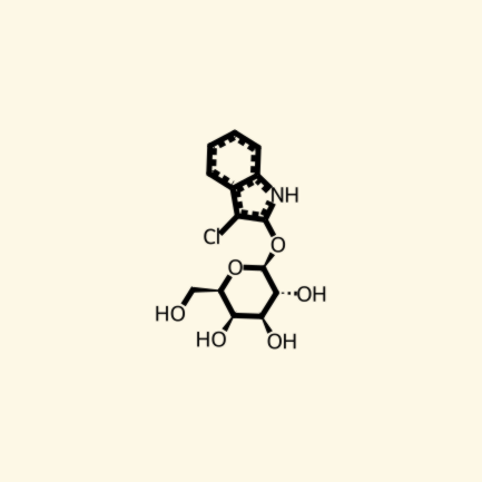 OC[C@H]1O[C@@H](Oc2[nH]c3ccccc3c2Cl)[C@H](O)[C@@H](O)[C@H]1O